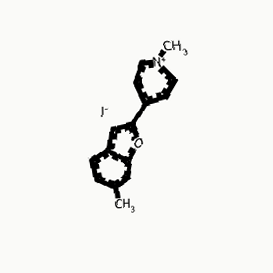 Cc1ccc2cc(-c3cc[n+](C)cc3)oc2c1.[I-]